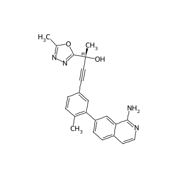 Cc1nnc([C@](C)(O)C#Cc2ccc(C)c(-c3ccc4ccnc(N)c4c3)c2)o1